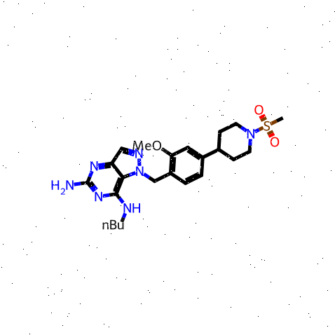 CCCCNc1nc(N)nc2cnn(Cc3ccc(C4CCN(S(C)(=O)=O)CC4)cc3OC)c12